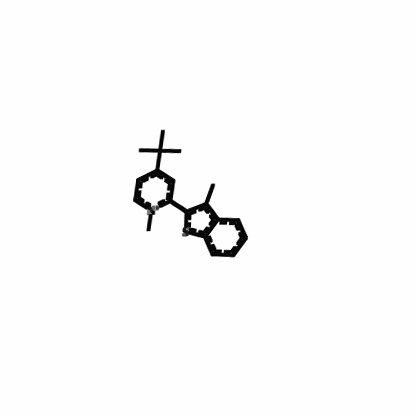 Cc1c(-c2cc(C(C)(C)C)cc[n+]2C)sc2ccccc12